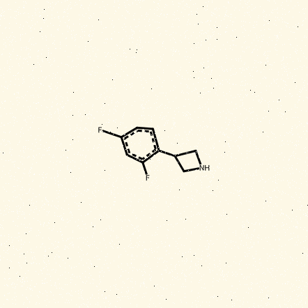 Fc1ccc(C2CNC2)c(F)c1